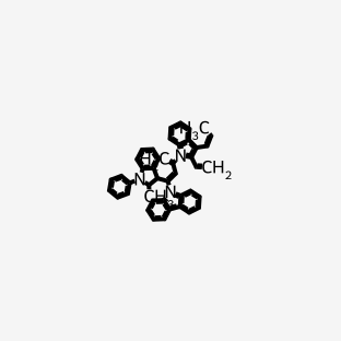 C=Cc1c(/C=C\C)c2ccccc2n1C(=C)/C=C(\C1c2ccccc2N(c2ccccc2)C1C)n1c2ccccc2c2ccccc21